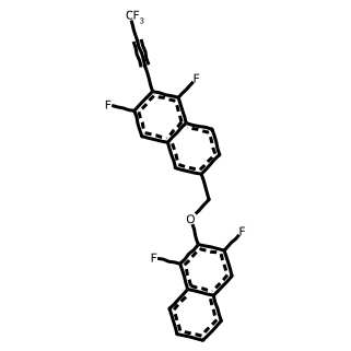 Fc1cc2cc(COc3c(F)cc4ccccc4c3F)ccc2c(F)c1C#CC(F)(F)F